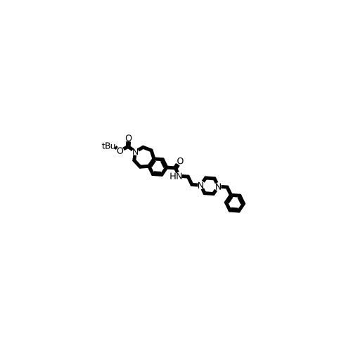 CC(C)(C)OC(=O)N1CCc2ccc(C(=O)NCCN3CCN(Cc4ccccc4)CC3)cc2CC1